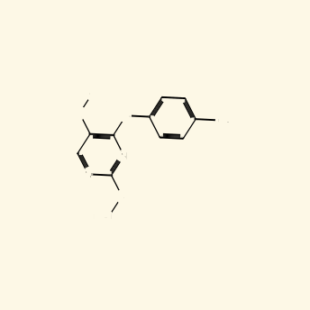 CCCCSc1ncc(OC(=O)O)c(Oc2ccc(C(C)(C)C)cc2)n1